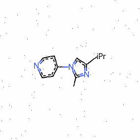 Cc1nc(C(C)C)cn1-c1ccncc1